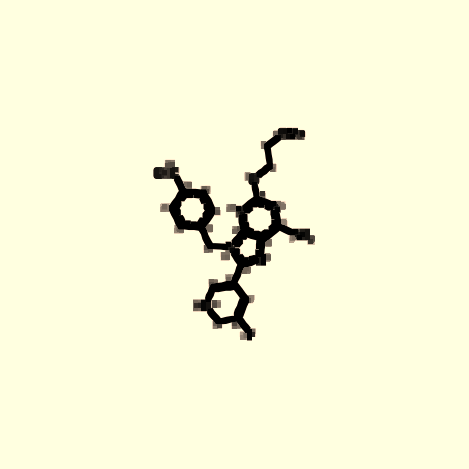 COCCOc1nc(N)c2nc(C3=CNCC(F)=C3)n(Cc3ccc(C=O)cc3)c2n1